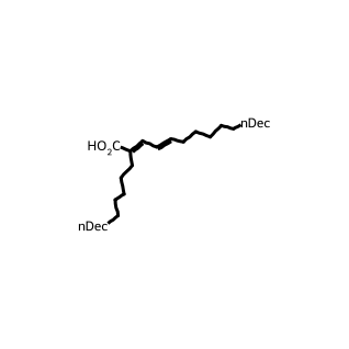 CCCCCCCCCCCCCCCC=CC=C(CCCCCCCCCCCCCCC)C(=O)O